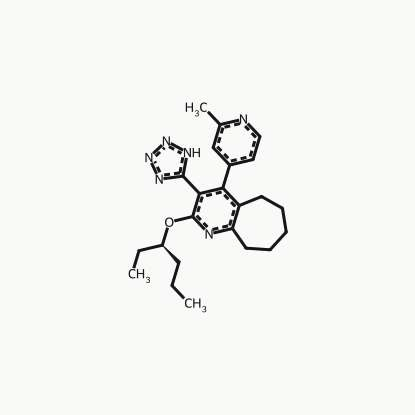 CCC[C@@H](CC)Oc1nc2c(c(-c3ccnc(C)c3)c1-c1nnn[nH]1)CCCCC2